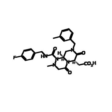 Cc1cccc(CN2C[C@H]3N(C(=O)CN(C)N3C(=O)NCc3ccc(F)cc3)[C@@H](CC(=O)O)C2=O)c1